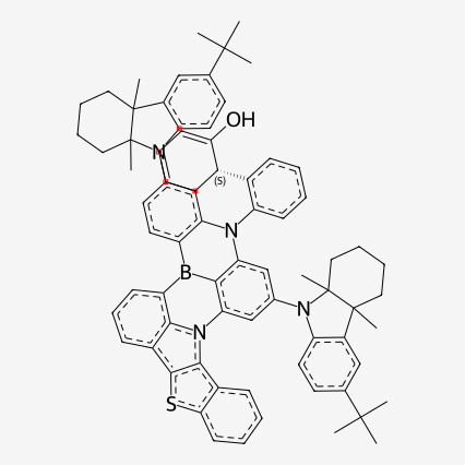 CC(C)(C)c1ccc2c(c1)C1(C)CCCCC1(C)N2c1ccc2c(c1)N(c1ccccc1[C@@H]1CC=CC=C1O)c1cc(N3c4ccc(C(C)(C)C)cc4C4(C)CCCCC34C)cc3c1B2c1cccc2c4sc5ccccc5c4n-3c12